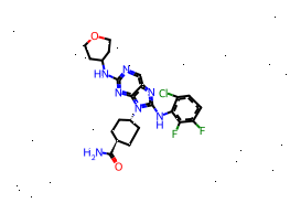 NC(=O)[C@H]1CC[C@H](n2c(Nc3c(Cl)ccc(F)c3F)nc3cnc(NC4CCOCC4)nc32)CC1